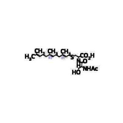 CC(=O)NC(CO)C(=O)NC(CSC/C=C(\C)CC/C=C(\C)CCC=C(C)C)C(=O)O